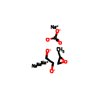 CC1CO1.O=[Si]([O-])[O-].[Na+].[Na+].[Na+].[Na+].[O-]CC[O-]